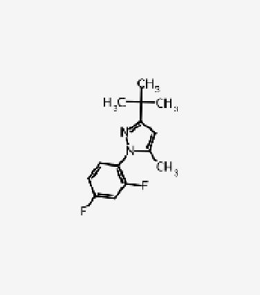 Cc1cc(C(C)(C)C)nn1-c1ccc(F)cc1F